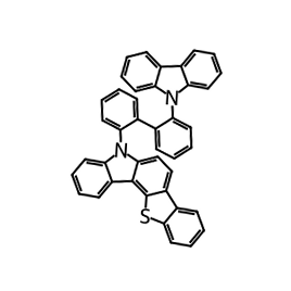 c1ccc(-n2c3ccccc3c3ccccc32)c(-c2ccccc2-n2c3ccccc3c3c4sc5ccccc5c4ccc32)c1